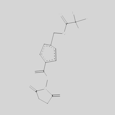 O=C(ON1C(=O)CCC1=O)c1ccc(CNC(=O)C(F)(F)F)cc1